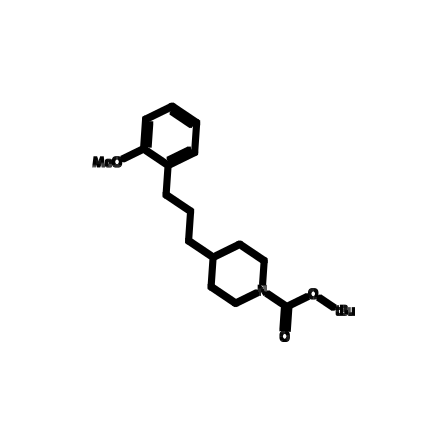 COc1ccccc1CCCC1CCN(C(=O)OC(C)(C)C)CC1